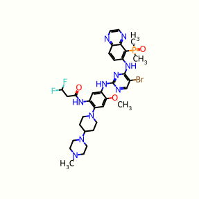 COc1cc(N2CCC(N3CCN(C)CC3)CC2)c(NC(=O)CC(F)F)cc1Nc1ncc(Br)c(Nc2ccc3nccnc3c2P(C)(C)=O)n1